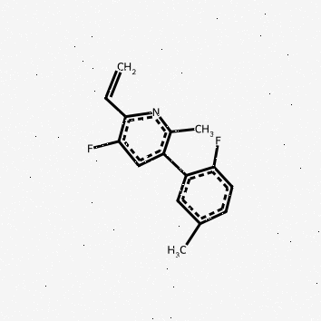 C=Cc1nc(C)c(-c2cc(C)ccc2F)cc1F